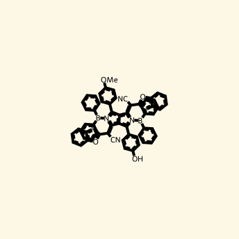 COc1ccc(-c2c3/c(=C(\C#N)c4nc5ccccc5o4)n(B(c4ccccc4)c4ccccc4)c(-c4ccc(O)cc4)c3/c(=C(\C#N)c3nc4ccccc4o3)n2B(c2ccccc2)c2ccccc2)cc1